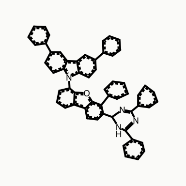 c1ccc(C2=NC(c3ccc4c(oc5c(-n6c7ccc(-c8ccccc8)cc7c7cc(-c8ccccc8)ccc76)cccc54)c3-c3ccccc3)NC(c3ccccc3)=N2)cc1